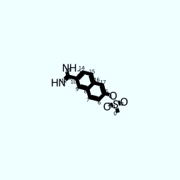 CS(=O)(=O)Oc1ccc2cc(C(=N)N)ccc2c1